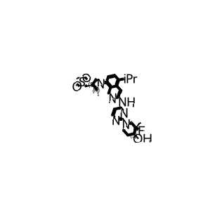 CC(C)c1ccc(N2C[C@H](CS(C)(=O)=O)[C@H]2C)c2cnc(Nc3ccnc(N4CC[C@H](O)[C@@](C)(F)C4)n3)cc12